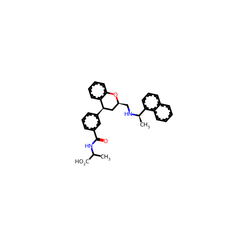 CC(NC(=O)c1cccc([C@@H]2C[C@H](CN[C@H](C)c3cccc4ccccc34)Oc3ccccc32)c1)C(=O)O